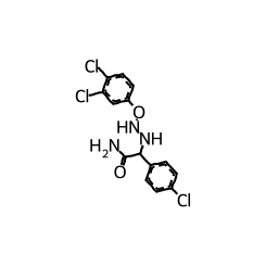 NC(=O)C(NNOc1ccc(Cl)c(Cl)c1)c1ccc(Cl)cc1